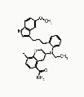 CCN(c1ccccc1CCCc1c[nH]c2ccc(OC)cc12)C1COc2c(F)ccc(C(N)=O)c2C1